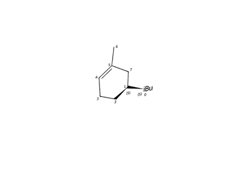 CC[C@H](C)[C@H]1CCC=C(C)C1